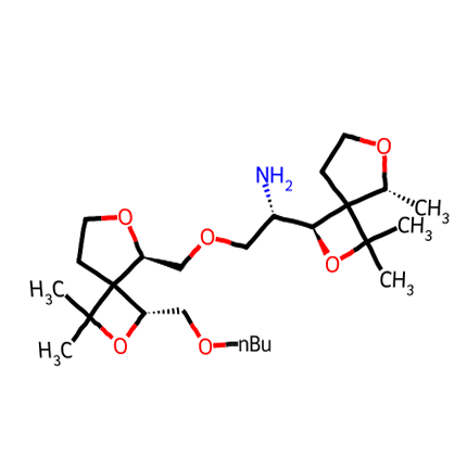 CCCCOC[C@@H]1OC(C)(C)C12CCO[C@H]2COC[C@H](N)[C@@H]1OC(C)(C)C12CCO[C@@H]2C